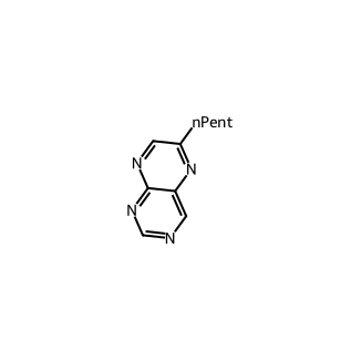 CCCCCc1cnc2ncncc2n1